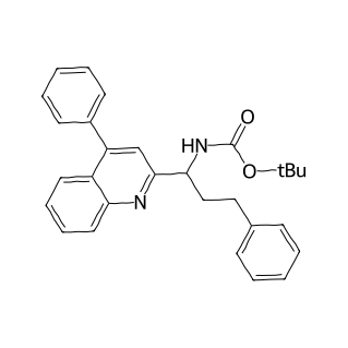 CC(C)(C)OC(=O)NC(CCc1ccccc1)c1cc(-c2ccccc2)c2ccccc2n1